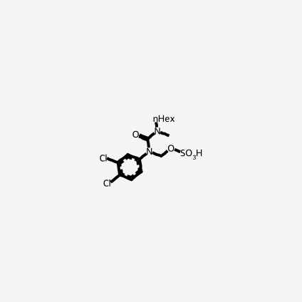 CCCCCCN(C)C(=O)N(COS(=O)(=O)O)c1ccc(Cl)c(Cl)c1